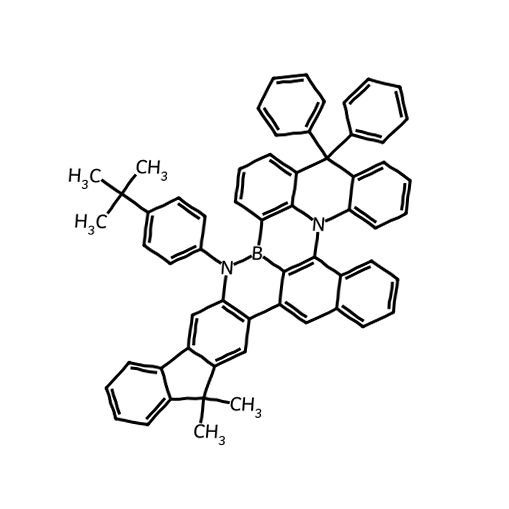 CC(C)(C)c1ccc(N2B3c4cccc5c4N(c4ccccc4C5(c4ccccc4)c4ccccc4)c4c3c(cc3ccccc43)-c3cc4c(cc32)-c2ccccc2C4(C)C)cc1